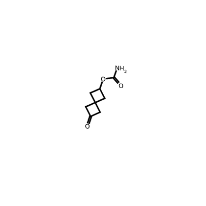 NC(=O)OC1CC2(CC(=O)C2)C1